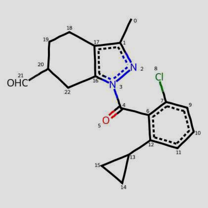 Cc1nn(C(=O)c2c(Cl)cccc2C2CC2)c2c1CCC(C=O)C2